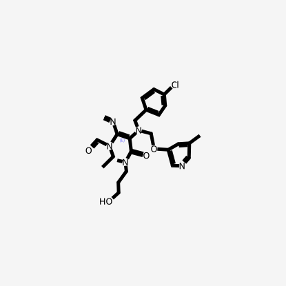 C=N/C(=C(/C(=O)N(C)CCCO)N(COc1cncc(C)c1)Cc1ccc(Cl)cc1)N(C=O)CC